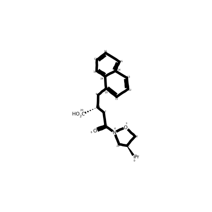 CC(C)[C@@H]1CON(C(=O)C[C@@H](Cc2cccc3ccccc23)C(=O)O)C1